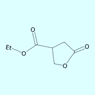 CCOC(=O)C1COC(=O)C1